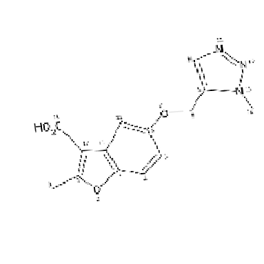 Cc1oc2ccc(OCc3cnnn3C)cc2c1C(=O)O